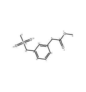 COC(=O)Cc1cccc(CS(C)(=O)=O)c1